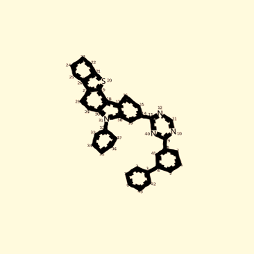 c1ccc(-c2cccc(-c3ncnc(-c4ccc5c6c7sc8ccccc8c7ccc6n(-c6ccccc6)c5c4)n3)c2)cc1